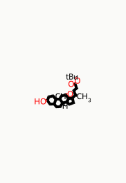 CC(CCC(=O)OC(C)(C)C)C1CCC2[C@H]3CCC4CC(O)CCC4(C)C3CC3O[C@@]312